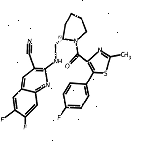 Cc1nc(C(=O)N2CCCC[C@H]2CNc2nc3cc(F)c(F)cc3cc2C#N)c(-c2ccc(F)cc2)s1